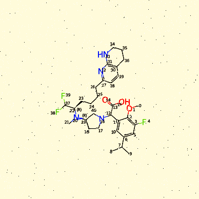 COc1c(F)cc(C(C)C)cc1C(C(=O)O)N1CC[C@@H](N(C)[C@H](CCCCc2ccc3c(n2)NCCC3)C(F)F)C1